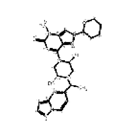 CC[C@H]1CN(C(C)c2ccn3nccc3n2)[C@H](CC)CN1c1nc(=O)n(C)c2cn(C3CCCCO3)nc12